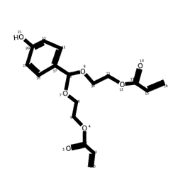 C=CC(=O)OCCOC(OCCOC(=O)C=C)c1ccc(O)cc1